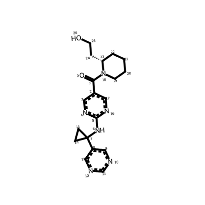 O=C(c1cnc(NC2(c3cncnc3)CC2)nc1)N1CCCC[C@H]1CCO